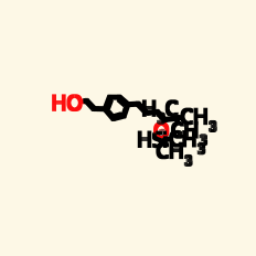 C[SiH](C)OC(CCCc1ccc(CCO)cc1)C(C)(C)C